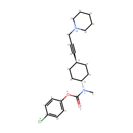 CN(C(=O)Oc1ccc(Cl)cc1)[C@H]1CC[C@H](C#CCN2CCCCC2)CC1